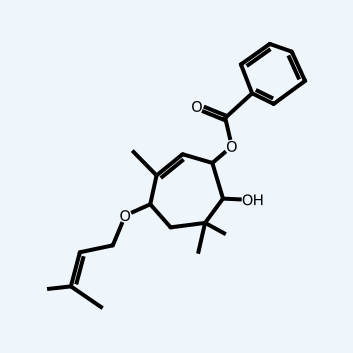 CC(C)=CCOC1CC(C)(C)C(O)C(OC(=O)c2ccccc2)C=C1C